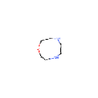 C1CNCCOCCN1